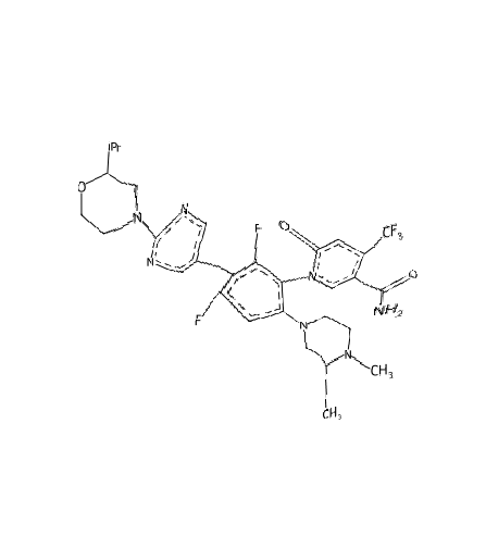 CC(C)C1CN(c2ncc(-c3c(F)cc(N4CCN(C)C(C)C4)c(-n4cc(C(N)=O)c(C(F)(F)F)cc4=O)c3F)cn2)CCO1